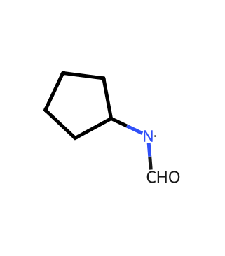 O=C[N]C1CCCC1